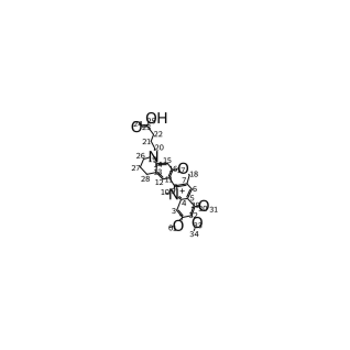 COc1cc2c(cc3c([n+]2C)-c2cc4c(cc2OC3)N(CCCC(=O)O)CCC4)c(OC)c1OC